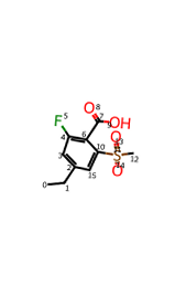 CCc1cc(F)c(C(=O)O)c(S(C)(=O)=O)c1